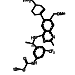 COCc1cc2nc(C)nc(N[C@H](C)c3cc(NC(=O)OC(C)(C)C)cc(C(F)(F)F)c3)c2cc1C1=CCC(C(=O)O)CC1